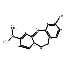 CN(C)C1=CC2=Nc3cc(I)ccc3CCC2C=C1